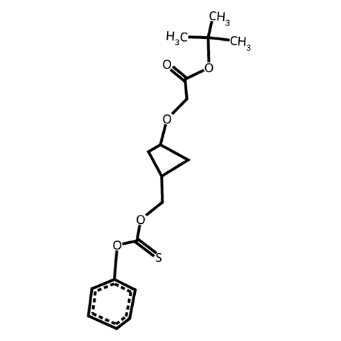 CC(C)(C)OC(=O)COC1CC(COC(=S)Oc2ccccc2)C1